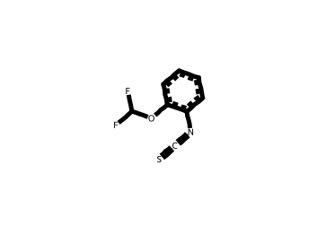 FC(F)Oc1ccccc1N=C=S